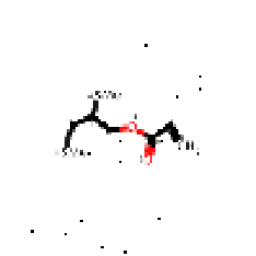 C=CC(=O)OCC(CSC)SC